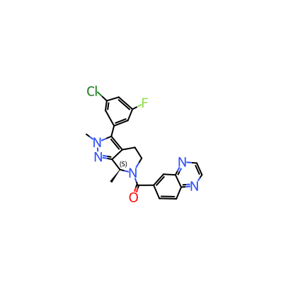 C[C@H]1c2nn(C)c(-c3cc(F)cc(Cl)c3)c2CCN1C(=O)c1ccc2nccnc2c1